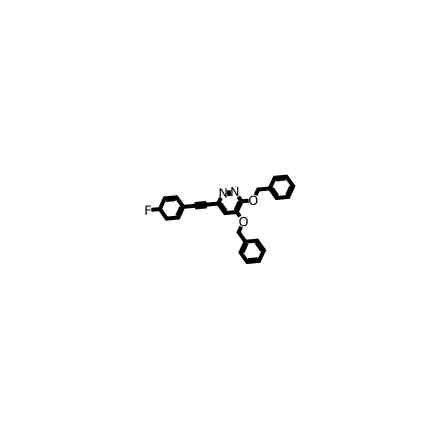 FC1C=CC(C#Cc2cc(OCc3ccccc3)c(OCc3ccccc3)nn2)=CC1